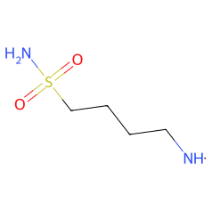 [NH]CCCCS(N)(=O)=O